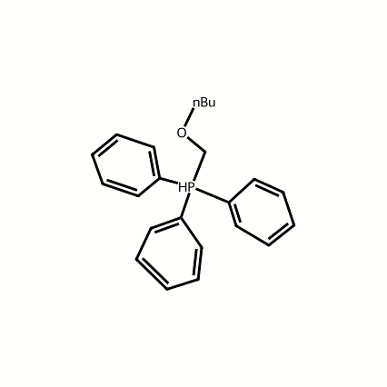 CCCCOC[PH](c1ccccc1)(c1ccccc1)c1ccccc1